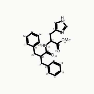 COC(=O)C(Cc1c[nH]cn1)NC(=O)C(Cc1ccccc1)Cc1ccccc1